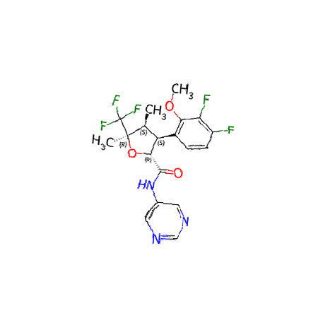 COc1c([C@H]2[C@H](C(=O)Nc3cncnc3)O[C@@](C)(C(F)(F)F)[C@H]2C)ccc(F)c1F